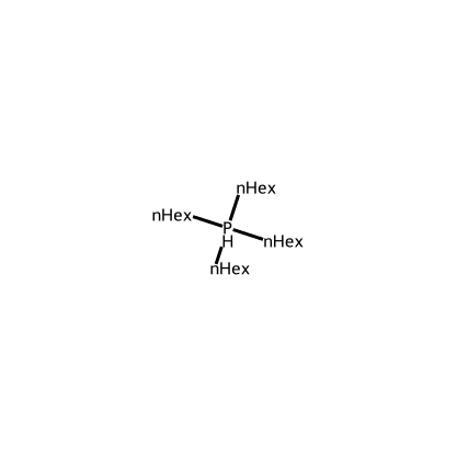 CCCCCC[PH](CCCCCC)(CCCCCC)CCCCCC